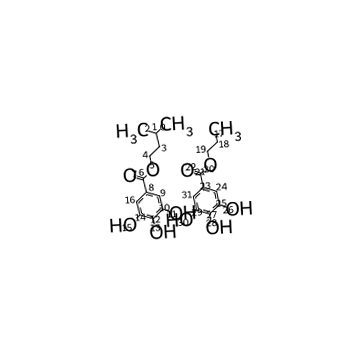 CC(C)CCOC(=O)c1cc(O)c(O)c(O)c1.CCCOC(=O)c1cc(O)c(O)c(O)c1